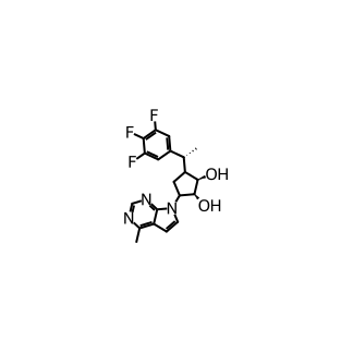 Cc1ncnc2c1ccn2C1CC([C@@H](C)c2cc(F)c(F)c(F)c2)[C@@H](O)[C@H]1O